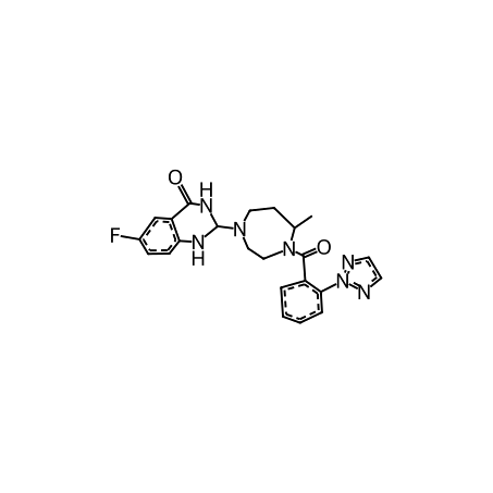 CC1CCN(C2NC(=O)c3cc(F)ccc3N2)CCN1C(=O)c1ccccc1-n1nccn1